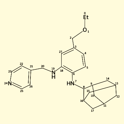 CCOCc1ccc(NC2C3CC4CC(C3)CC2C4)c(NCc2ccncc2)c1